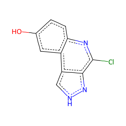 Oc1ccc2nc(Cl)c3n[nH]cc3c2c1